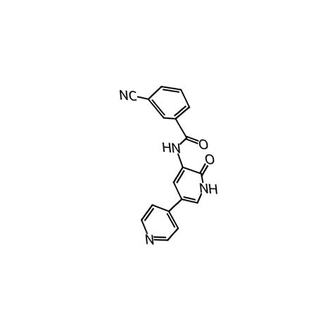 N#Cc1cccc(C(=O)Nc2cc(-c3ccncc3)c[nH]c2=O)c1